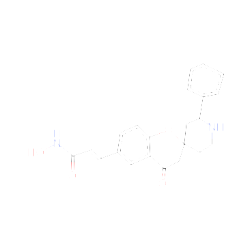 O=C(/C=C/c1ccc2c(c1)C(=O)CC1(CCNC(c3ccccc3)C1)O2)NO